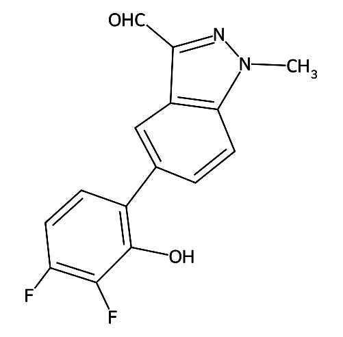 Cn1nc(C=O)c2cc(-c3ccc(F)c(F)c3O)ccc21